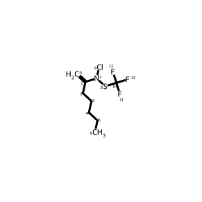 C=C(CCCCC)N(Cl)SC(F)(F)F